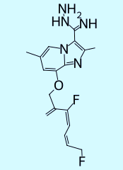 C=C(COc1cc(C)cn2c(C(=N)NN)c(C)nc12)/C(F)=C\C=C/CF